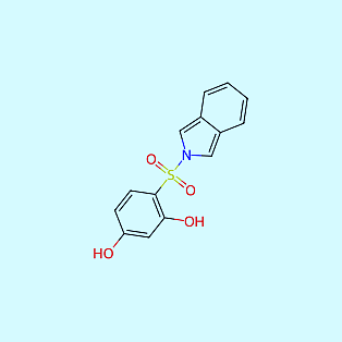 O=S(=O)(c1ccc(O)cc1O)n1cc2ccccc2c1